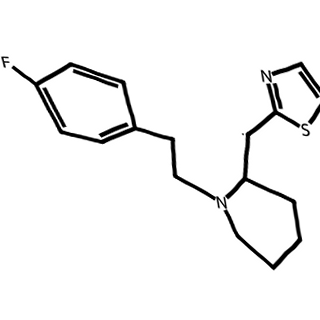 Fc1ccc(CCN2CCCCC2[CH]c2nccs2)cc1